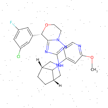 COc1cc(N2C[C@H]3CC[C@@H](C2)C3Nc2nc3n(n2)CCO[C@H]3c2cc(F)cc(Cl)c2)ccn1